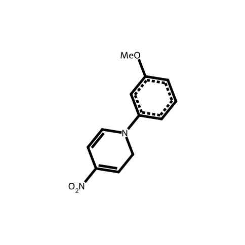 COc1cccc(N2C=CC([N+](=O)[O-])=CC2)c1